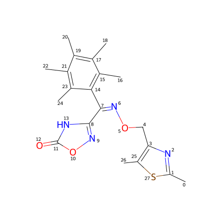 Cc1nc(CON=C(c2noc(=O)[nH]2)c2c(C)c(C)c(C)c(C)c2C)c(C)s1